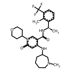 Cc1c([C@@H](C)NC(=O)c2cn(C3CCOCC3)c(=O)cc2NC2CCCCN(C)C2)cccc1C(F)(F)F